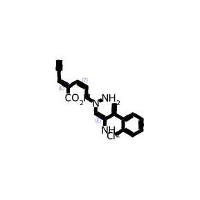 C#C/C=C(\C=C/CN(N)/C=C(/N)C(=C)c1ccccc1Cl)C(=O)O